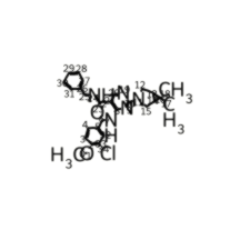 COc1ccc(CNc2nc(N3CC4C(C3)C4(C)C)ncc2C(=O)NCc2ccccc2)cc1Cl